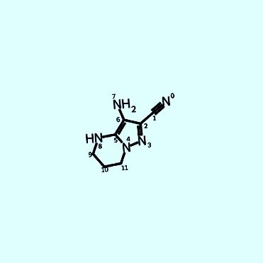 N#Cc1nn2c(c1N)NCCC2